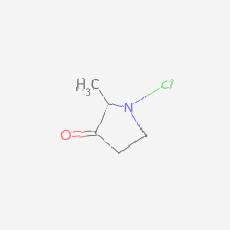 CC1C(=O)CCN1Cl